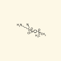 CCN(CC)C(=O)c1ccc(N(CCl)C(=O)OC(CC#N)CCCCCN)cc1